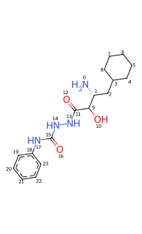 N[C@H](CC1CCCCC1)C(O)C(=O)NNC(=O)Nc1ccccc1